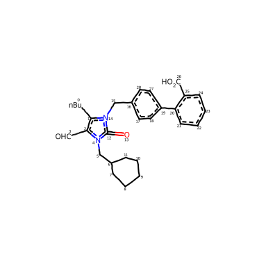 CCCCc1c(C=O)n(CC2CCCCC2)c(=O)n1Cc1ccc(-c2ccccc2C(=O)O)cc1